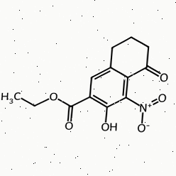 CCOC(=O)c1cc2c(c([N+](=O)[O-])c1O)C(=O)CCC2